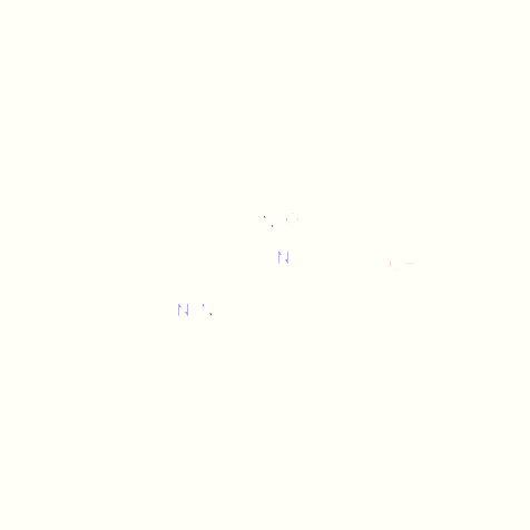 Oc1ccc(-c2nc(-c3ccc4c(c3)N=NC4C3CCCC3)no2)cc1